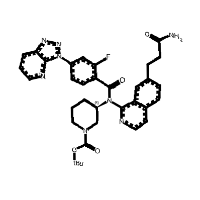 CC(C)(C)OC(=O)N1CCC[C@@H](N(C(=O)c2ccc(-n3nnc4cccnc43)cc2F)c2nccc3ccc(CCC(N)=O)cc23)C1